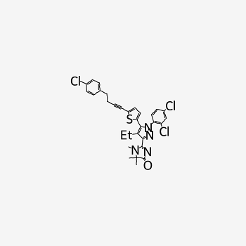 CCc1c(C2=NC(=O)C(C)(C)N2C)nn(-c2ccc(Cl)cc2Cl)c1-c1ccc(C#CCCc2ccc(Cl)cc2)s1